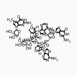 C[n+]1cn([C@@H]2O[C@H](COP(=O)(O)OP(=O)(O)OP(=O)(O)OC[C@]34CO[C@@H](C3OP(=O)(O)OC[C@]35CO[C@@H](C3OP(=O)(O)OC[C@H]3O[C@@H](n6cnc7c(=O)[nH]c(N)nc76)[C@@H](O)C3O)[C@H](n3cnc6c(N)ncnc63)O5)[C@H](n3cnc5c(N)ncnc53)O4)C(O)[C@@H]2O)c2nc(N)[nH]c(=O)c21